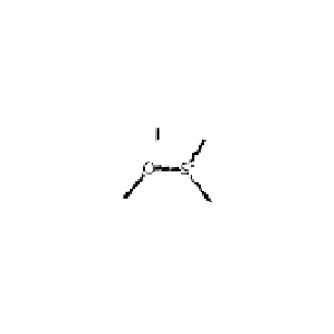 CO[S+](C)C.[I-]